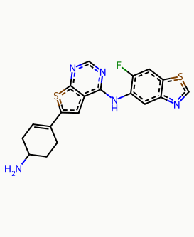 NC1CC=C(c2cc3c(Nc4cc5ncsc5cc4F)ncnc3s2)CC1